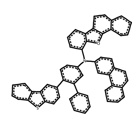 c1ccc(-c2cc(N(c3ccc4ccc5ccccc5c4c3)c3cccc4c3oc3c5ccccc5ccc43)ccc2-c2ccc3sc4ccccc4c3c2)cc1